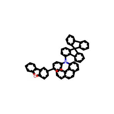 c1ccc2c(c1)-c1ccccc1C21c2ccccc2-c2c(N(c3ccc(-c4ccc5oc6ccccc6c5c4)cc3)c3cccc4ccc5ccccc5c34)cccc21